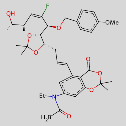 BC(=O)N(CC)c1cc(/C=C/C[C@@H]2OC(C)(C)O[C@@H]2[C@H](OCc2ccc(OC)cc2)/C(F)=C\[C@@H](C)[C@H](C)O)c2c(c1)OC(C)(C)OC2=O